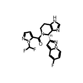 O=C(c1ccnn1C(F)F)N1CCc2[nH]cnc2[C@@H]1c1cc2cc(F)ccn2n1